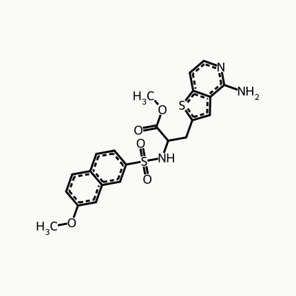 COC(=O)C(Cc1cc2c(N)nccc2s1)NS(=O)(=O)c1ccc2ccc(OC)cc2c1